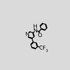 O=C(Nc1cncc(-c2cccc(C(F)(F)F)c2)c1)c1ccccc1